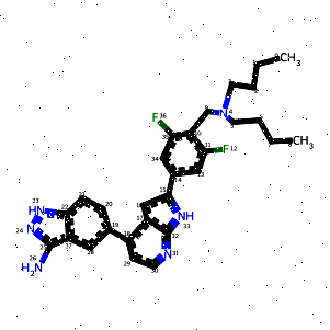 CCCCN(CCCC)Cc1c(F)cc(-c2cc3c(-c4ccc5[nH]nc(N)c5c4)ccnc3[nH]2)cc1F